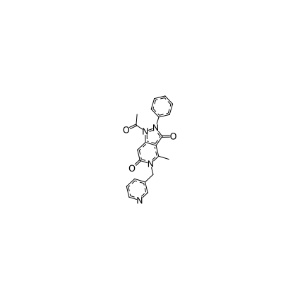 CC(=O)n1c2cc(=O)n(Cc3cccnc3)c(C)c2c(=O)n1-c1ccccc1